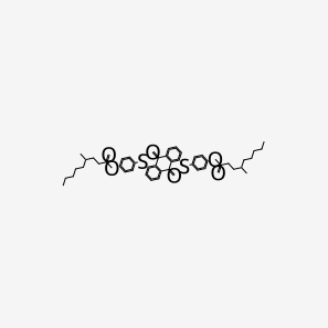 CCCCCC(C)CCC(=O)Oc1ccc(Sc2cccc3c2C(=O)c2cccc(Sc4ccc(OC(=O)CCC(C)CCCCC)cc4)c2C3=O)cc1